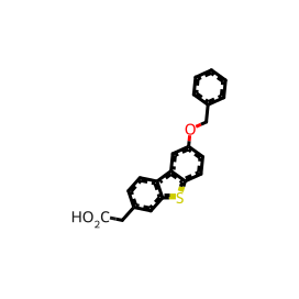 O=C(O)Cc1ccc2c(c1)sc1ccc(OCc3ccccc3)cc12